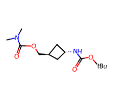 CN(C)C(=O)OC[C@H]1C[C@H](NC(=O)OC(C)(C)C)C1